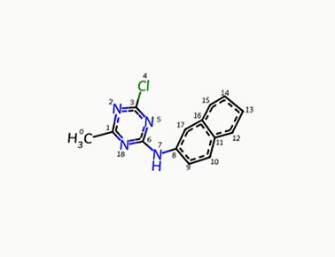 Cc1nc(Cl)nc(Nc2ccc3ccccc3c2)n1